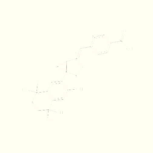 Cc1cc2c(cc1C13CC/C(=C\c4ccc(C(=O)O)cn4)C1C3)C(C)(C)CCC2(C)C